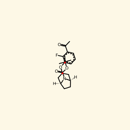 CC(=O)c1cccc(O[C@H]2C[C@H]3CC[C@@H](C2)N3C(=O)OC(C)(C)C)c1F